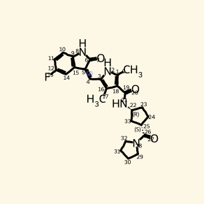 Cc1[nH]c(/C=C2\C(=O)Nc3ccc(F)cc32)c(C)c1C(=O)N[C@@H]1CC[C@H](C(=O)N2CCCC2)C1